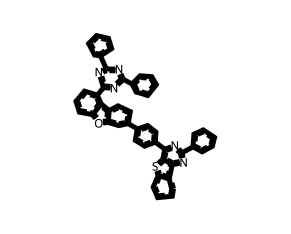 c1ccc(-c2nc(-c3ccccc3)nc(-c3cccc4oc5cc(-c6ccc(-c7nc(-c8ccccc8)nc8c7sc7ccccc78)cc6)ccc5c34)n2)cc1